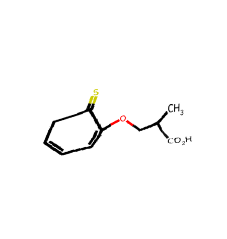 CC(COC1=CC=CCC1=S)C(=O)O